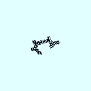 C1=CCCC(N(c2ccc(-c3ccc(-c4ccc(N(c5ccccc5)c5ccc(N(c6ccccc6)c6ccc(-c7ccccc7)cc6)cc5)cc4)cc3)cc2)c2ccc(N(c3ccccc3)c3ccc(-c4ccccc4)cc3)cc2)=C1